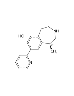 C[C@@H]1CNCCc2ccc(-c3ccccn3)cc21.Cl